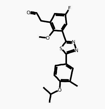 COc1c(CC=O)cc(F)cc1-c1nnc(-c2ccc(OC(C)C)c(C)c2)s1